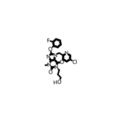 Cn1c(=O)n(CCCO)c(=O)c2c1nc(Oc1ccccc1F)n2Cc1ccc(Cl)cn1